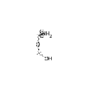 CC(C)(CCCCO)CCCCOCCCCC(C)(C)CS(N)(=O)=O